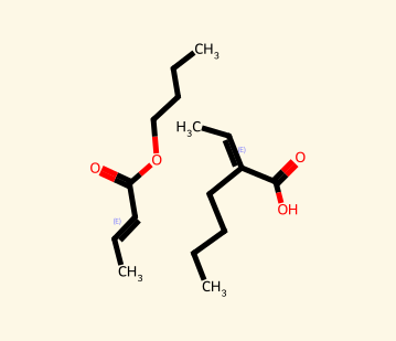 C/C=C(\CCCC)C(=O)O.C/C=C/C(=O)OCCCC